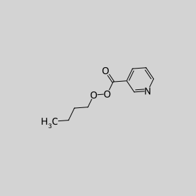 CCCCOOC(=O)c1cccnc1